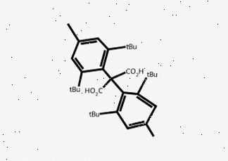 Cc1cc(C(C)(C)C)c(C(C(=O)O)(C(=O)O)c2c(C(C)(C)C)cc(C)cc2C(C)(C)C)c(C(C)(C)C)c1